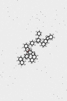 c1ccc(-c2nc(-c3ccc(-c4cccc5cc(-c6nc(-c7cccc8ccccc78)nc(-c7cccc8ccc9sc%10ccccc%10c9c78)n6)ccc45)cc3)nc(-c3cccc4cc5c(cc34)oc3ccccc35)n2)cc1